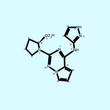 O=C(O)[C@@H]1CCCN1c1nc(Nc2cc[nH]n2)c2cccn2n1